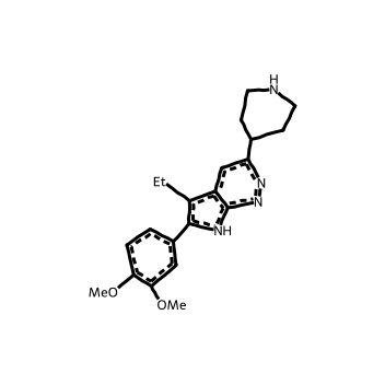 CCc1c(-c2ccc(OC)c(OC)c2)[nH]c2nnc(C3CCNCC3)cc12